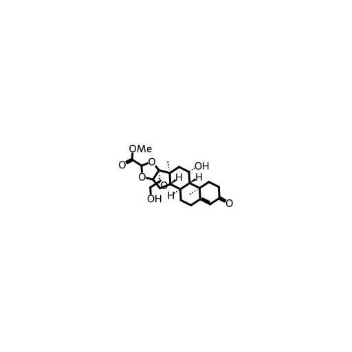 COC(=O)C1OC2C[C@H]3[C@@H]4CCC5=CC(=O)CC[C@]5(C)[C@H]4[C@@H](O)C[C@]3(C)[C@]2(C(=O)CO)O1